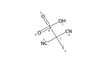 N#CC(I)(C#N)S(=O)(=O)O